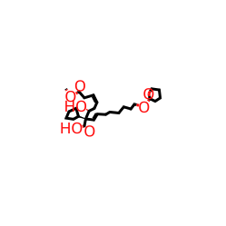 COC(=O)C/C=C\C[C@@H](O)[C@](/C=C/CCCCCCOC1CCCCO1)(C(=O)O)C1CCCC1